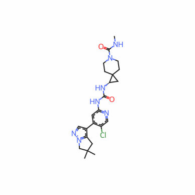 CNC(=O)N1CCC2(CC1)C[C@H]2NC(=O)Nc1cc(-c2cnn3c2CC(C)(C)C3)c(Cl)cn1